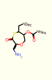 CCCCCCCCCCCC1SC(=O)C(=CN)OCC1OC(=O)CCCCCC